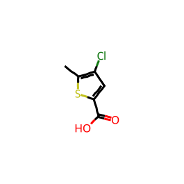 Cc1sc(C(=O)O)cc1Cl